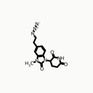 Cn1c(=O)n(C2CCC(=O)NC2=O)c2ccc(CCN=[N+]=[N-])cc21